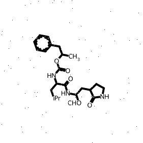 CC(C)CC(NC(=O)OC(C)Cc1ccccc1)C(=O)NC(C=O)CC1CCNC1=O